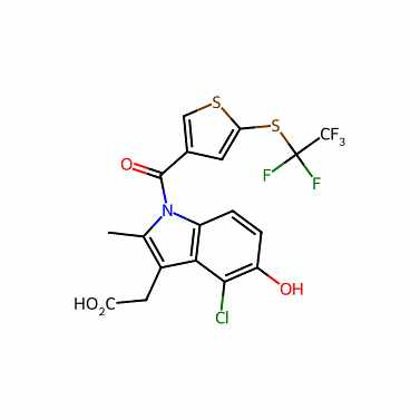 Cc1c(CC(=O)O)c2c(Cl)c(O)ccc2n1C(=O)c1csc(SC(F)(F)C(F)(F)F)c1